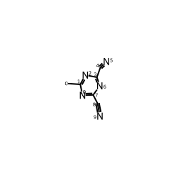 Cc1nc(C#N)nc(C#N)n1